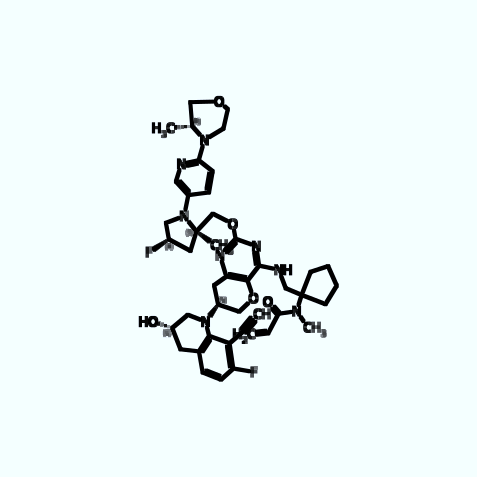 C#Cc1c(F)ccc2c1N([C@@H]1COc3c(nc(OC[C@]4(C)C[C@@H](F)CN4c4ccc(N5CCOC[C@H]5C)nc4)nc3NCC3(N(C)C(=O)C=C)CCCC3)C1)C[C@@H](O)C2